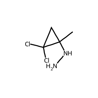 CC1(NN)CC1(Cl)Cl